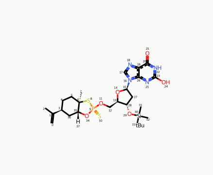 C=C(C)[C@H]1CC[C@@]2(C)SP(=S)(OC[C@H]3O[C@@H](n4cnc5c(=O)[nH]c(O)nc54)C[C@@H]3O[Si](C)(C)C(C)(C)C)O[C@@H]2C1